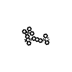 CC1(C)c2ccccc2N(c2ccc3cc4cc(N5c6ccccc6Sc6ccccc65)ccc4cc3c2)c2cc3c(cc21)-c1ccccc1[Si]3(c1ccccc1)c1ccccc1